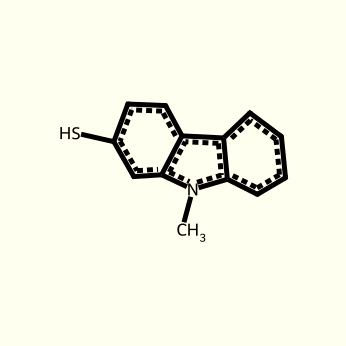 Cn1c2ccccc2c2ccc(S)cc21